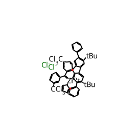 CC(C)(C)c1cc2c(cc1-c1ccccc1)Cc1c-2cc(C(C)(C)C)c(-c2ccccc2)[c]1[Zr+2](=[C](c1cccc(C(Cl)(Cl)Cl)c1)c1cccc(C(Cl)(Cl)Cl)c1)[CH]1C=CC=C1.[Cl-].[Cl-]